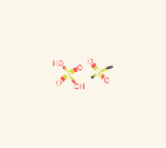 CS(C)(=O)=O.O=S(=O)(O)O